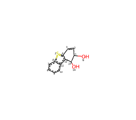 OC1C=Cc2sc3ccccc3c2C1O